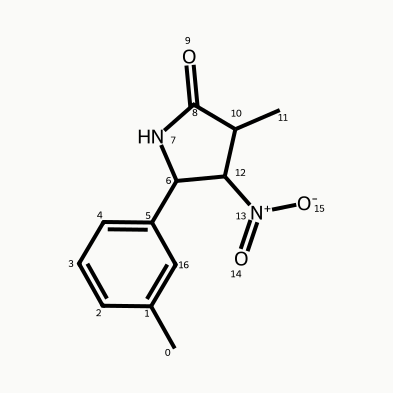 Cc1cccc(C2NC(=O)C(C)C2[N+](=O)[O-])c1